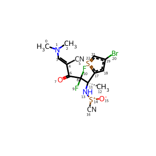 CN(C)/C=C(\C#N)C(=O)C(F)(F)[C@](C)(N[S+]([O-])C#N)c1cc(Br)cs1